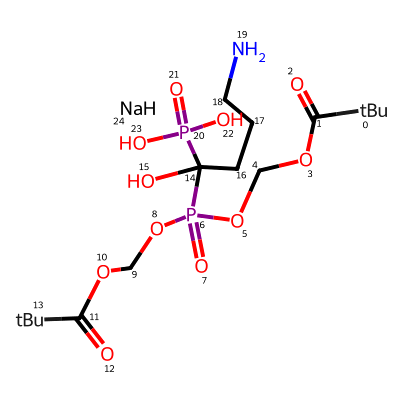 CC(C)(C)C(=O)OCOP(=O)(OCOC(=O)C(C)(C)C)C(O)(CCCN)P(=O)(O)O.[NaH]